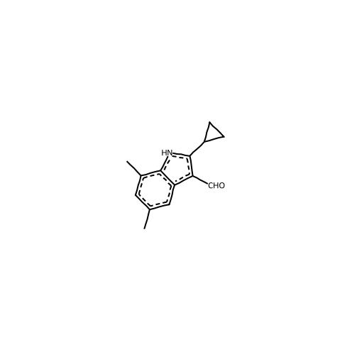 Cc1cc(C)c2[nH]c(C3CC3)c(C=O)c2c1